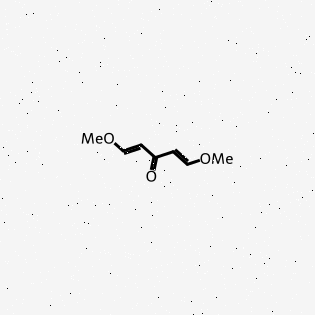 COC=CC(=O)C=COC